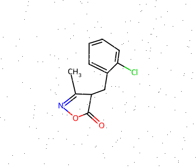 CC1=NOC(=O)C1Cc1ccccc1Cl